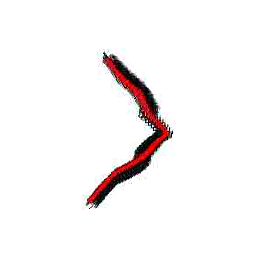 ClBr.ClBr.ClBr.ClBr.ClBr.ClBr.ClBr.ClBr.ClBr.ClBr.ClBr.ClBr.ClBr.ClBr.ClBr.ClBr.ClBr.ClBr.ClBr.ClBr.ClBr.ClBr.ClBr.ClBr.ClBr.[Ag].[Ag].[Ag].[Ag].[Ag].[Ag].[Ag].[Ag].[Ag].[Ag].[Ag].[Ag].[Ag].[Ag].[Ag].[Ag].[Ag].[Ag].[Ag].[Ag].[Ag].[Ag].[Ag].[Ag].[Ag].[Ag].[Ag].[Ag].[Ag].[Ag].[Ag].[Ag].[Ag].[Ag].[Ag].[Ag].[Ag].[Ag].[Ag].[Ag].[Ag].[Ag].[Ag].[Ag].[Ag].[Ag].[Ag].[Ag].[Ag].[Ag].[Ag].[Ag].[Ag].[Ag].[Ag].[Ag].[Ag].[Ag].[Ag].[Ag].[Ag].[Ag].[Ag].[Ag].[Ag].[Ag].[Ag].[Ag].[Ag].[Ag].[Ag].[Ag].[Ag].[Ag].[Ag]